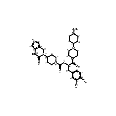 CN1CCC(N2CCN(C(=O)C(Cc3ccc(Cl)c(Cl)c3)OC(=O)N3CCC(N4Cc5cscc5NC4=O)CC3)CC2)CC1